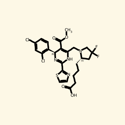 COC(=O)C1=C(CN2CC(F)(F)C[C@@H]2CCCCC(=O)O)NC(c2nccs2)=N[C@H]1c1ccc(Cl)cc1Cl